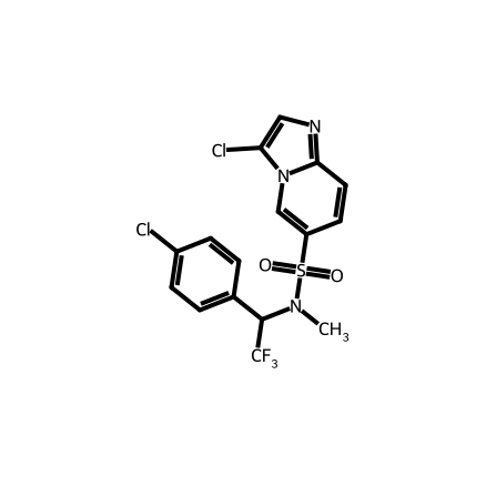 CN(C(c1ccc(Cl)cc1)C(F)(F)F)S(=O)(=O)c1ccc2ncc(Cl)n2c1